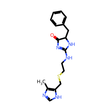 Cc1nc[nH]c1CSCCNC1=NC(=O)C(Cc2ccccc2)N1